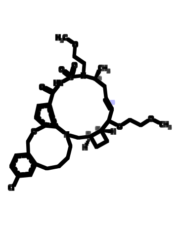 COCCOC1/C=C/C[C@H](C)N(CCOC)S(=O)(=O)NC(=O)c2ccc3c(c2)N(CCCCc2cc(Cl)ccc2CO3)C[C@@H]2CC[C@@H]12